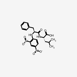 CC(C)C[C@H](NC(=O)[C@H](Cc1ccccc1)Nc1ccc([N+](=O)[O-])cc1[N+](=O)[O-])C(=O)O